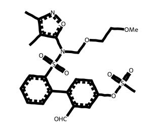 COCCOCN(c1onc(C)c1C)S(=O)(=O)c1ccccc1-c1ccc(OS(C)(=O)=O)cc1C=O